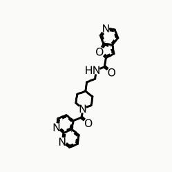 O=C(NCCC1CCN(C(=O)c2ccnc3ncccc23)CC1)c1cc2ccncc2o1